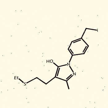 CCSCCc1c(C)nn(-c2ccc(CI)cc2)c1O